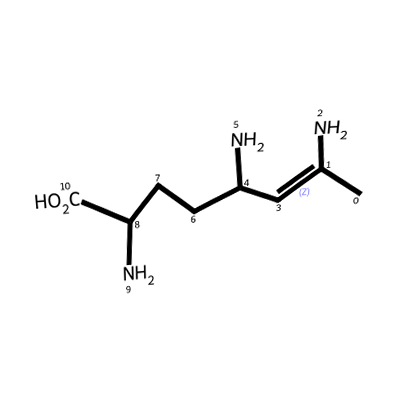 C/C(N)=C/C(N)CCC(N)C(=O)O